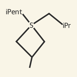 CCCC(C)S1(CC(C)C)CC(C)C1